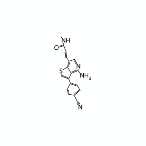 CNC(=O)C=Cc1cnc(N)c2c(-c3ccc(C#N)cc3)csc12